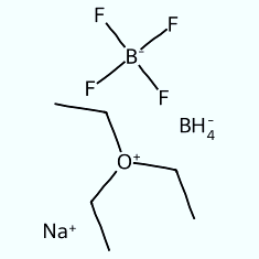 CC[O+](CC)CC.F[B-](F)(F)F.[BH4-].[Na+]